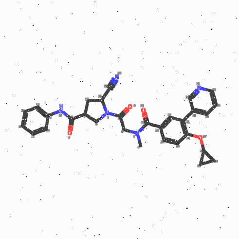 CN(CC(=O)N1CC(C(=O)Nc2ccccc2)CC1C#N)C(=O)c1ccc(OC2CC2)c(-c2cccnc2)c1